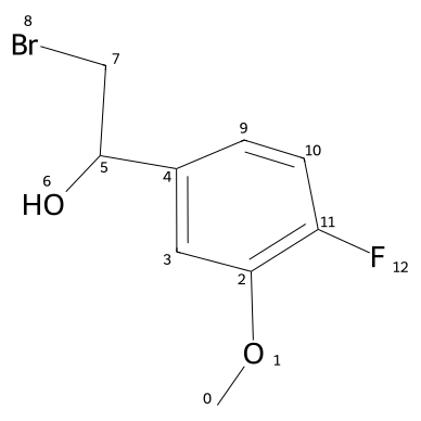 COc1cc(C(O)CBr)ccc1F